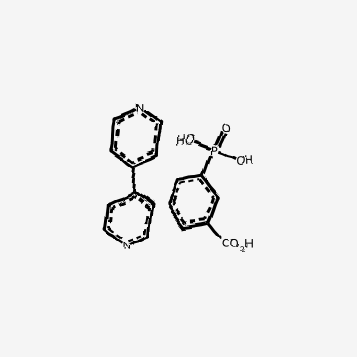 O=C(O)c1cccc(P(=O)(O)O)c1.c1cc(-c2ccncc2)ccn1